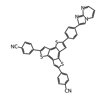 N#Cc1ccc(-c2cc3c(s2)c2cc(-c4ccc(C#N)cc4)sc2c2cc(-c4ccc(-c5cn6cccnc6n5)cc4)sc32)cc1